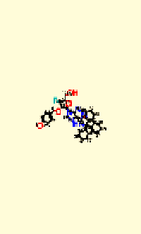 COc1ccc(CO[C@@H]2[C@@H](F)[C@@H](CO)O[C@H]2n2cnc3c(NC(c4ccccc4)(c4ccccc4)c4ccccc4)ncnc32)cc1